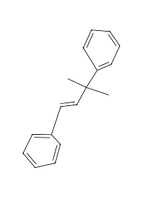 CC(C)(/C=C/c1ccccc1)c1ccccc1